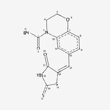 CC(C)C(=O)N1CCOc2ccc(C=C3SC(=S)NC3=O)cc21